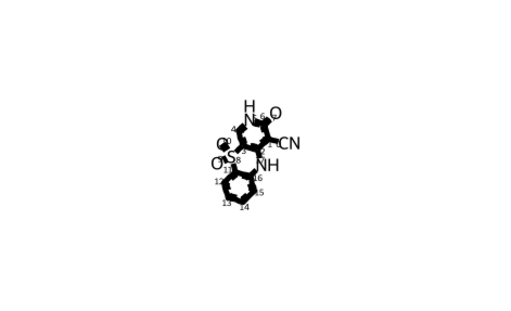 N#Cc1c2c(c[nH]c1=O)S(=O)(=O)c1ccccc1N2